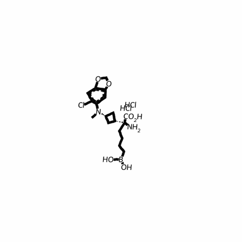 CN(c1cc2c(cc1Cl)OCO2)[C@H]1C[C@@H](C(N)(CCCCB(O)O)C(=O)O)C1.Cl.Cl